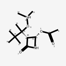 CC(=O)O[C@@H]1NC(=O)[C@@H]1C(C)(O[SiH](C)C)C(C)(C)C